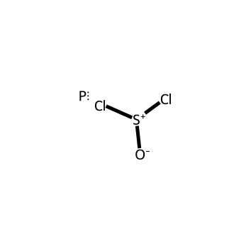 [O-][S+](Cl)Cl.[P]